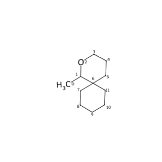 CC1OCCCC12CCCCC2